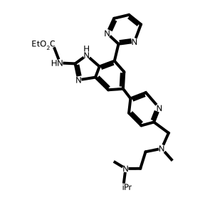 CCOC(=O)Nc1nc2cc(-c3ccc(CN(C)CCN(C)C(C)C)nc3)cc(-c3ncccn3)c2[nH]1